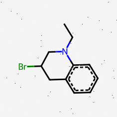 CCN1CC(Br)Cc2ccccc21